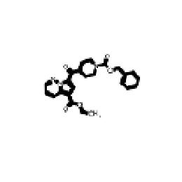 CCOC(=O)c1cc(C(=O)C2CCN(C(=O)OCc3ccccc3)CC2)n2ncccc12